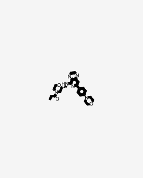 CCC(=O)N1CCO[C@H](CNc2nc(-c3ccc(N4CCOCC4)cc3)cc3nccnc23)C1